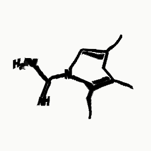 Cc1cn(C(=N)N)c(C)c1C